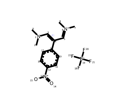 CN(C)/C=C(/C=[N+](C)C)c1ccc([N+](=O)[O-])cc1.F[B-](F)(F)F